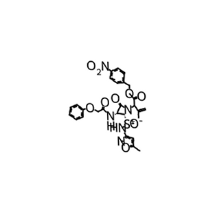 C=C(C)C(C(=O)OCc1ccc([N+](=O)[O-])cc1)N1C(=O)[C@@H](NC(=O)COc2ccccc2)[C@H]1[S+]([O-])Nc1cc(C)on1